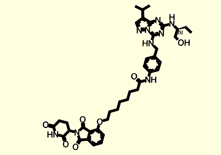 CC[C@@H](CO)Nc1nc(NCc2ccc(NC(=O)CCCCCCCOc3cccc4c3C(=O)N(C3CCC(=O)NC3=O)C4=O)cc2)n2ncc(C(C)C)c2n1